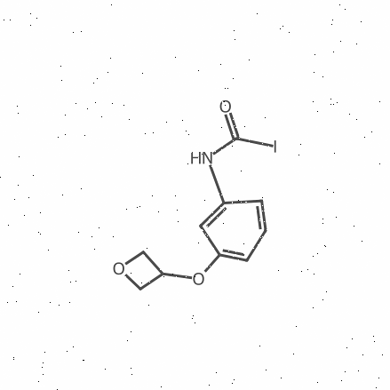 O=C(I)Nc1cccc(OC2COC2)c1